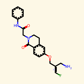 NC/C(=C\F)COc1ccc2c(c1)CCN(CC(=O)Nc1ccccc1)C2=O